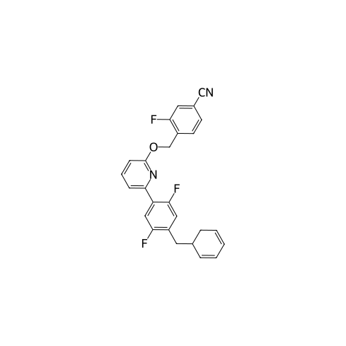 N#Cc1ccc(COc2cccc(-c3cc(F)c(CC4C=CC=CC4)cc3F)n2)c(F)c1